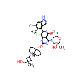 COc1nc(-c2c(C)c(Cl)cc3[nH]ncc23)c(F)c2nc(OC[C@]34CCC[C@H]3N(C3CC(C)(CO)C3)CCC4)nc(N3CCOC[C@@](C)(O)C3)c12